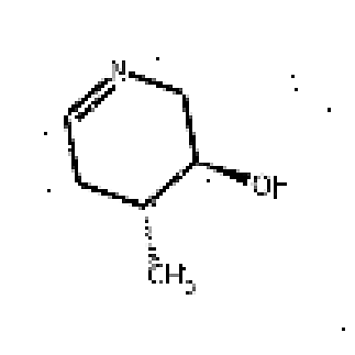 C[C@@H]1CC=NC[C@H]1O